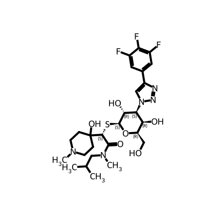 CC(C)CN(C)C(=O)[C@@H](S[C@@H]1O[C@H](CO)[C@H](O)[C@H](n2cc(-c3cc(F)c(F)c(F)c3)nn2)[C@H]1O)C1(O)CCN(C)CC1